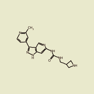 Cc1cc(-c2n[nH]c3cc(NC(=O)NCC4CNC4)ncc23)ccn1